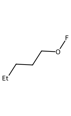 CCCCCOF